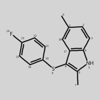 Cc1ccc2[nH]c(C)c(Sc3ccc(F)cc3)c2c1